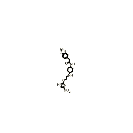 O=C(Cc1ccc(OC(F)(F)F)cc1)NC1CCC(NCCOc2nc([N+](=O)[O-])c[nH]2)CC1